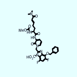 COC(=O)NC(CCC=CC(=O)N(C)C)C(=O)Nc1cccn(Cc2nc3c(OCc4ccccc4)c(F)cc(F)c3n2C(=O)O)c1=O